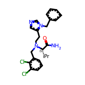 CC(C)[C@@H](C(N)=O)N(CCc1cncn1Cc1ccccc1)Cc1cccc(Cl)c1Cl